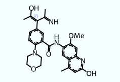 COc1cc2nc(O)cc(C)c2cc1NC(=O)c1cc(/C(C(C)=N)=C(\C)O)ccc1N1CCOCC1